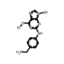 CCOc1nc(Nc2ccc(CN)cc2)nc2c1ncn2S